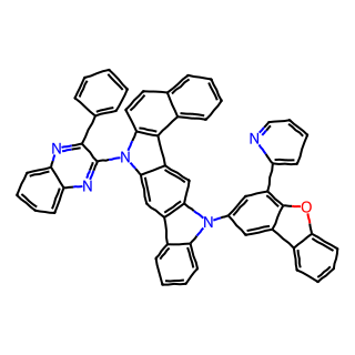 c1ccc(-c2nc3ccccc3nc2-n2c3cc4c5ccccc5n(-c5cc(-c6ccccn6)c6oc7ccccc7c6c5)c4cc3c3c4ccccc4ccc32)cc1